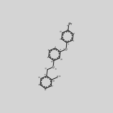 CC(C)c1ccc(Oc2cccc(OCc3ccccc3F)c2)cc1